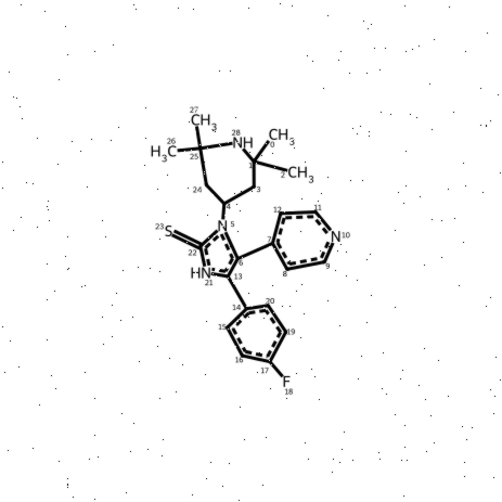 CC1(C)CC(n2c(-c3ccncc3)c(-c3ccc(F)cc3)[nH]c2=S)CC(C)(C)N1